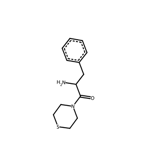 NC(Cc1ccccc1)C(=O)N1CCSCC1